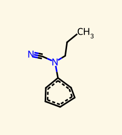 CCCN(C#N)c1ccccc1